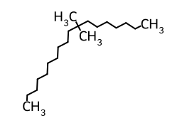 CCCCCCCCCCC(C)(C)CCCCCCC